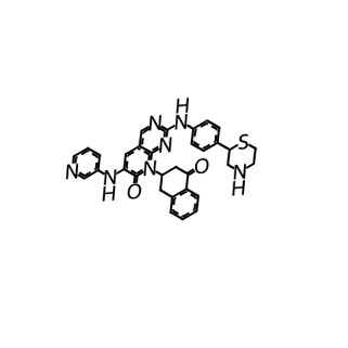 O=C1CC(n2c(=O)c(Nc3cccnc3)cc3cnc(Nc4ccc(C5CNCCS5)cc4)nc32)Cc2ccccc21